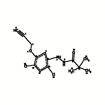 C#CCOc1cc(NNC(=O)C(C)(C)C)c(Cl)cc1Cl